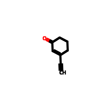 C#CC1=CC(=O)CCC1